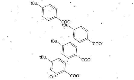 CC(C)(C)c1ccc(C(=O)[O-])cc1.CC(C)(C)c1ccc(C(=O)[O-])cc1.CC(C)(C)c1ccc(C(=O)[O-])cc1.CC(C)(C)c1ccc(C(=O)[O-])cc1.[Ce+4]